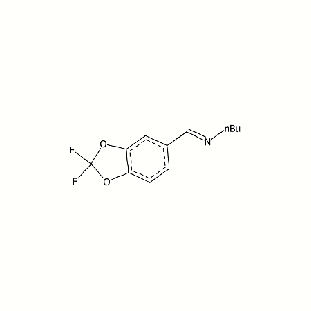 CCCC/N=C/c1ccc2c(c1)OC(F)(F)O2